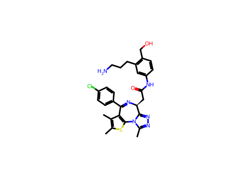 Cc1sc2c(c1C)C(c1ccc(Cl)cc1)=N[C@@H](CC(=O)Nc1ccc(CO)c(CCCN)c1)c1nnc(C)n1-2